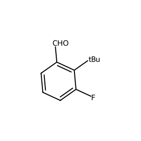 CC(C)(C)c1c(F)cccc1C=O